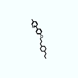 CCCC1CCC(CCCOc2ccc(-c3ccc(C)cn3)cc2)CC1